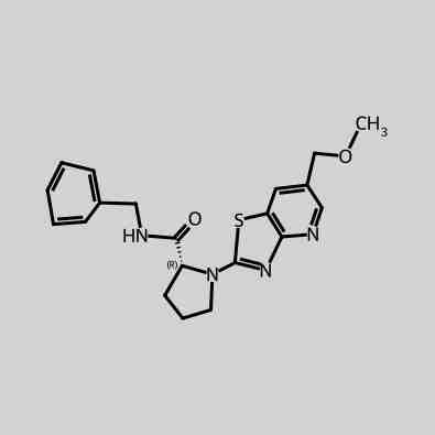 COCc1cnc2nc(N3CCC[C@@H]3C(=O)NCc3ccccc3)sc2c1